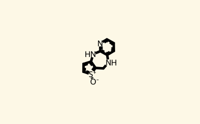 [O-][s+]1ccc2c1CNc1cccnc1N2